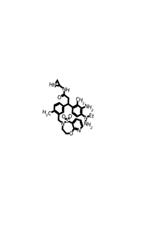 CCN(N)c1ccc(C(CC(=O)NC2CN2)c2ccc(C)c(CN3CCOc4ncccc4S3(=O)=O)c2)c(C)c1N